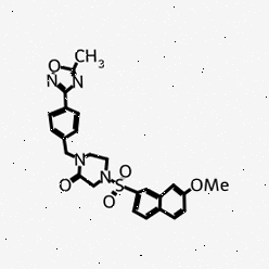 COc1ccc2ccc(S(=O)(=O)N3CCN(Cc4ccc(-c5noc(C)n5)cc4)C(=O)C3)cc2c1